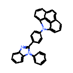 c1ccc(-n2c(-c3ccc(-n4c5cccc6ccc7cccc4c7c65)cc3)nc3ccccc32)cc1